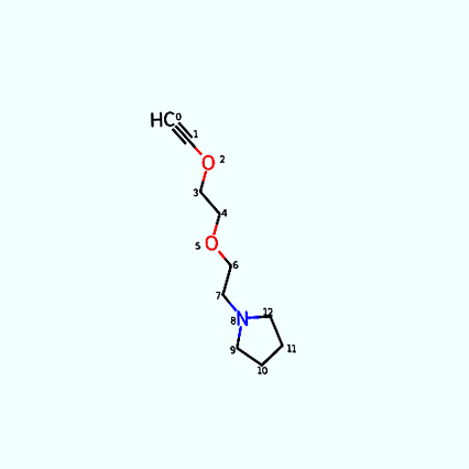 C#COCCOCCN1CCCC1